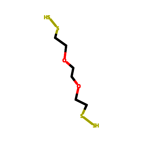 SSCCOCCOCCSS